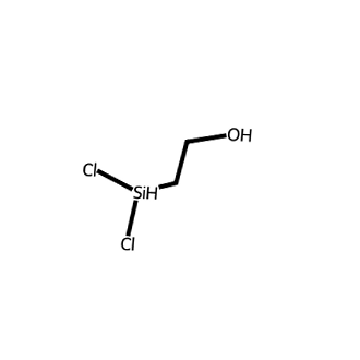 OCC[SiH](Cl)Cl